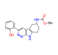 CC(C)(C)OC(=O)NC1CCc2[nH]c3nnc(-c4ccccc4O)cc3c2C1